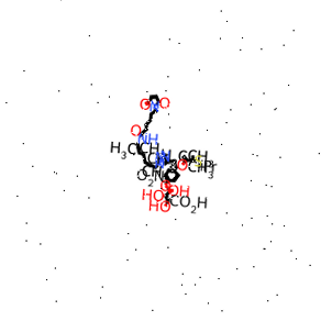 C=C(O[C@H](Cc1cn(CC(C)(C)CCCC(C)(C)CNC(=O)CCCCCN2C(=O)C=CC2=O)nn1)c1ccc(OC(O)/C(O)=C(/O)C(=O)O)c([N+](=O)[O-])c1)C(C)(C)SC(C)C